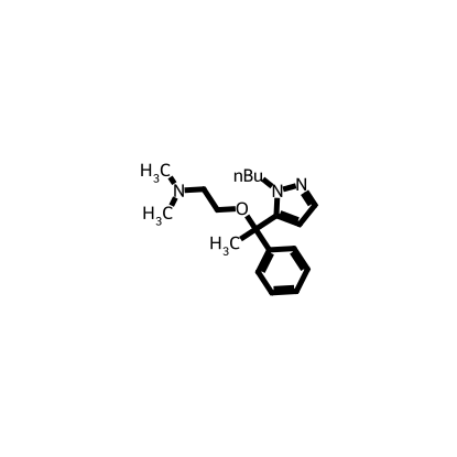 CCCCn1nccc1C(C)(OCCN(C)C)c1ccccc1